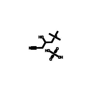 C[N+](C)(C)CC(O)CC#N.O=S(=O)(O)O